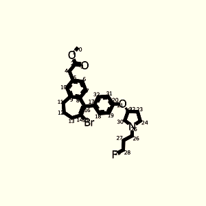 COC(=O)Cc1ccc2c(c1)CCCC(Br)=C2c1ccc(O[C@H]2CCN(CCCF)C2)cc1